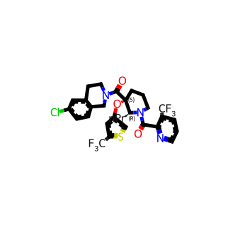 CCC[C@H]1N(C(=O)c2ncccc2C(F)(F)F)CCC[C@@]1(Oc1csc(C(F)(F)F)c1)C(=O)N1CCc2cc(Cl)ccc2C1